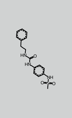 CS(=O)(=O)Nc1ccc(NC(=O)NCCc2ccccc2)cc1